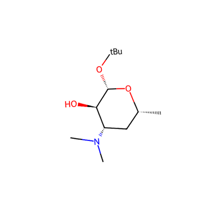 C[C@@H]1C[C@H](N(C)C)[C@@H](O)[C@H](OC(C)(C)C)O1